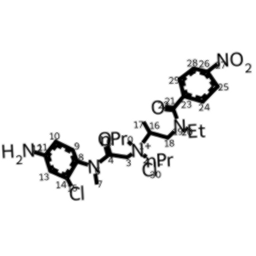 CCC[N+](CCC)(CC(=O)N(C)c1ccc(N)cc1Cl)C(C)CN(CC)C(=O)c1ccc([N+](=O)[O-])cc1.[Cl-]